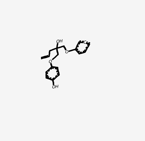 C=CCC(O)(COc1ccccc1)COc1ccc(O)cc1